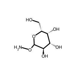 NOC1O[C@H](CO)[C@H](O)[C@H](O)[C@H]1O